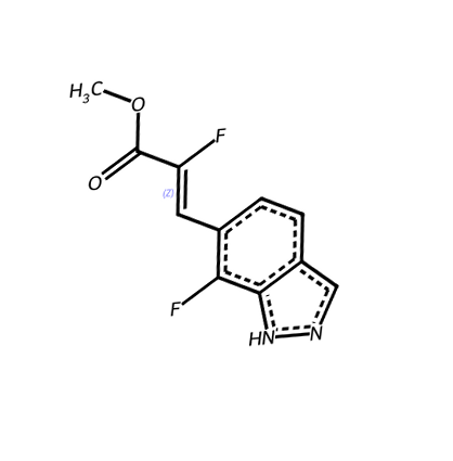 COC(=O)/C(F)=C/c1ccc2cn[nH]c2c1F